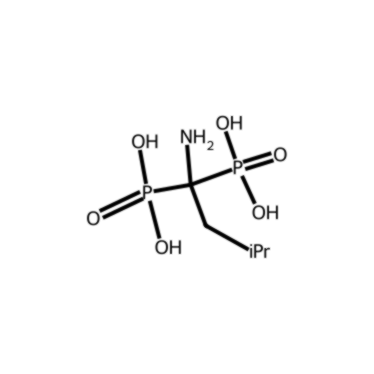 CC(C)CC(N)(P(=O)(O)O)P(=O)(O)O